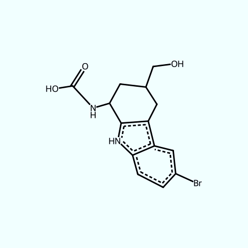 O=C(O)NC1CC(CO)Cc2c1[nH]c1ccc(Br)cc21